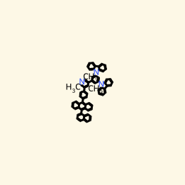 Cc1nc(C)c(-c2cc(-n3c4ccccc4c4ccccc43)cc(-n3c4ccccc4c4ccccc43)c2)c(C)c1-c1ccc(-c2c3ccccc3c(-c3cccc4ccccc34)c3ccccc23)cc1